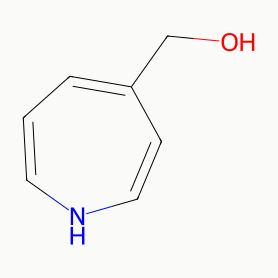 OCC1=CC=CNC=C1